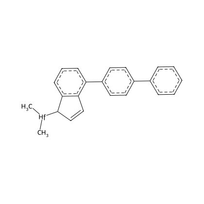 [CH3][Hf]([CH3])[CH]1C=Cc2c(-c3ccc(-c4ccccc4)cc3)cccc21